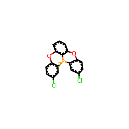 S=P12c3cc(Cl)ccc3Oc3cccc(c31)Oc1ccc(Cl)cc12